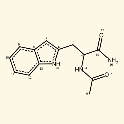 CC(=O)NC(Cc1cc2ccccc2[nH]1)C(N)=O